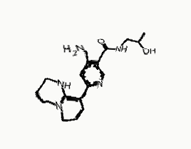 CC(O)CNC(=O)c1cnc(C2=C3NCCCN3CC=C2)cc1N